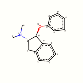 CN(C)[C@H]1Cc2ccccc2[C@@H]1Oc1ccccc1